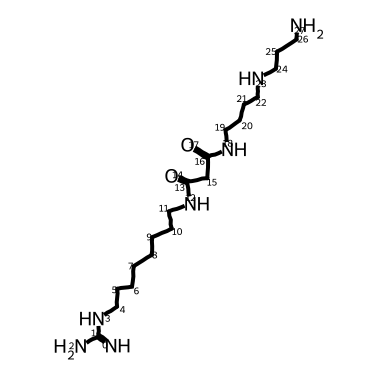 N=C(N)NCCCCCCCCNC(=O)CC(=O)NCCCCNCCCN